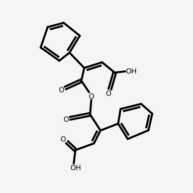 O=C(O)/C=C(\C(=O)OC(=O)/C(=C\C(=O)O)c1ccccc1)c1ccccc1